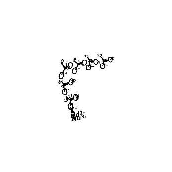 CC(=O)[O-].CC(=O)[O-].CC(=O)[O-].CC(=O)[O-].CC(=O)[O-].CC(=O)[O-].[Au+3].[K+].[Pd+2]